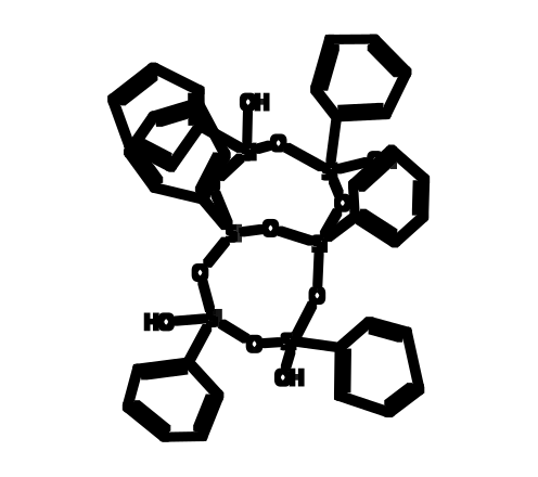 O[Si]1(c2ccccc2)O[Si](O)(c2ccccc2)O[Si]2(c3ccccc3)O[Si](O)(c3ccccc3)O[Si](O)(c3ccccc3)O[Si](c3ccccc3)(O1)O2